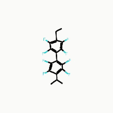 CCc1c(F)c(F)c(-c2c(F)c(F)c(C(C)C)c(F)c2F)c(F)c1F